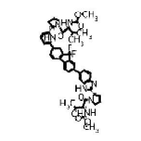 COC(=O)N[C@H](C(=O)N1CCC[C@H]1C1=C=CC=C(c2ccc3c(c2)C(F)(F)c2cc(-c4ccc5nc([C@@H]6CCCN6C(=O)[C@@H](NC(=O)OC)C(C)C)[nH]c5c4)ccc2-3)N1)C(C)C